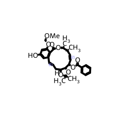 COCOc1cc(O)cc2c1C(=O)O[C@@H](C)[C@H](C)/C=C\C(OC(=O)c1ccccc1)C1OC(C)(C)O[C@H]1C/C=C/2